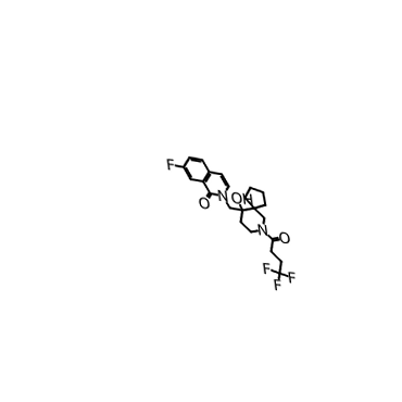 O=C(CCC(F)(F)F)N1CCC(O)(Cn2ccc3ccc(F)cc3c2=O)C2(CCCC2)C1